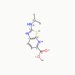 COC(=O)c1ccc2nc(NC(C)C)sc2n1